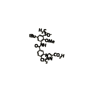 COc1c(NC(=O)c2ccc(C)c(-n3cc(C(=O)O)nn3)c2)cc(C(C)(C)C)cc1[S+](C)[O-]